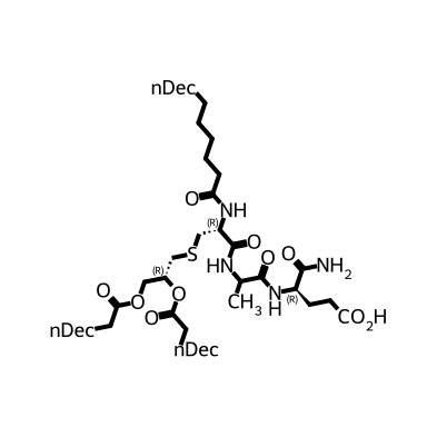 CCCCCCCCCCCCCCCC(=O)N[C@@H](CSC[C@@H](COC(=O)CCCCCCCCCCC)OC(=O)CCCCCCCCCCC)C(=O)NC(C)C(=O)N[C@H](CCC(=O)O)C(N)=O